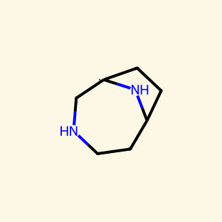 C1CC2CC[C](CN1)N2